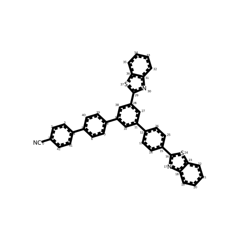 N#Cc1ccc(-c2ccc(-c3cc(-c4ccc(-c5nc6ccccc6s5)cc4)cc(-c4nc5ccccc5s4)c3)cc2)cc1